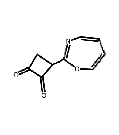 O=C1CC(C2=NC=CC=CO2)C1=O